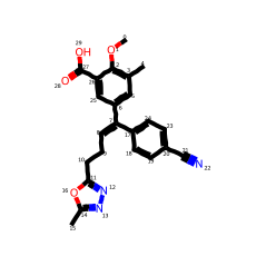 COc1c(C)cc(C(=CCCc2nnc(C)o2)c2ccc(C#N)cc2)cc1C(=O)O